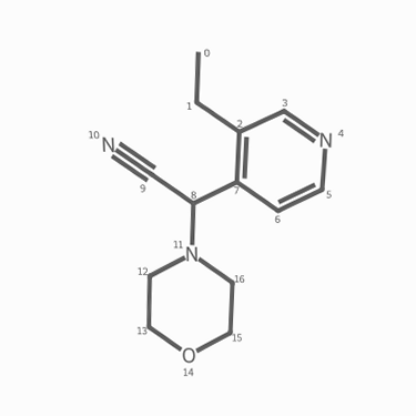 CCc1cnccc1C(C#N)N1CCOCC1